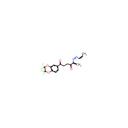 C=C(/N=N\C=C/C)C(=O)CCC(=O)c1ccc2c(c1)OC(F)(F)C(F)(F)O2